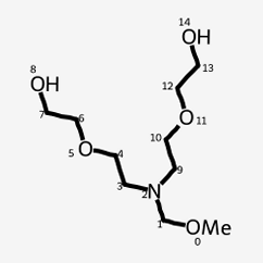 COCN(CCOCCO)CCOCCO